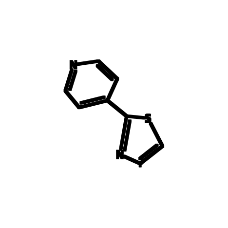 [c]1csc(-c2ccncc2)n1